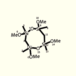 CO[Si]1(C)C[Si](C)(OC)O[Si](C)(OC)C[Si](C)(OC)O1